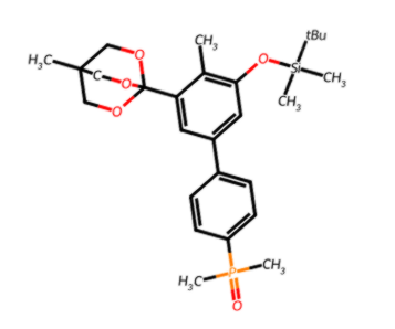 Cc1c(O[Si](C)(C)C(C)(C)C)cc(-c2ccc(P(C)(C)=O)cc2)cc1C12OCC(C)(CO1)CO2